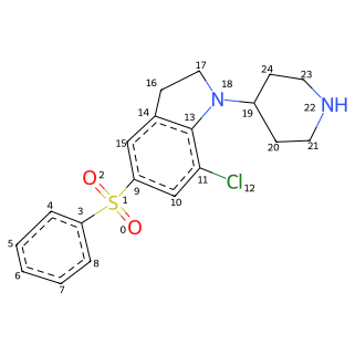 O=S(=O)(c1ccccc1)c1cc(Cl)c2c(c1)CCN2C1CCNCC1